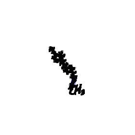 C/C=C/CCc1ccc(C=NN=Cc2ccc(C#N)cc2)cc1